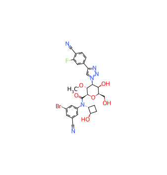 CO[C@@H]1[C@@H](n2cc(-c3ccc(C#N)c(F)c3)nn2)[C@@H](O)[C@@H](CO)O[C@H]1C(=O)N(c1cc(Br)cc(C#N)c1)[C@@H]1CC[C@H]1O